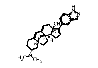 CN(C)[C@H]1CCC2=CC3=CC[C@]4(C)C(c5ccc6[nH]ncc6c5)=CC[C@H]4[C@@]34CC[C@]2(C1)O4